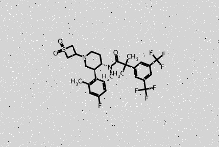 Cc1cc(F)ccc1[C@H]1CN(C2CS(=O)(=O)C2)CC[C@@H]1N(C)C(=O)C(C)(C)c1cc(C(F)(F)F)cc(C(F)(F)F)c1